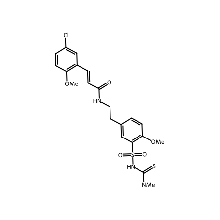 CNC(=S)NS(=O)(=O)c1cc(CCNC(=O)C=Cc2cc(Cl)ccc2OC)ccc1OC